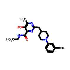 Cc1nc(CC2CCN(c3cccc(C(C)(C)C)c3)CC2)nc(C(=O)NCC(=O)O)c1O